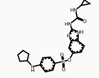 O=C(Nc1nc2cc(OS(=O)(=O)c3ccc(NC4CCCC4)cc3)ccc2[nH]1)NC1CC1